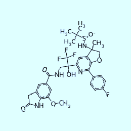 COc1cc(C(=O)NCC(O)(c2cc3c(c(-c4ccc(F)cc4)n2)OCC3(C)N[S+]([O-])C(C)(C)C)C(F)(F)F)cc2c1NC(=O)C2